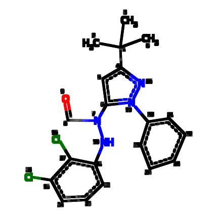 CC(C)(C)c1cc(N(C=O)Nc2cccc(Cl)c2Cl)n(-c2ccccc2)n1